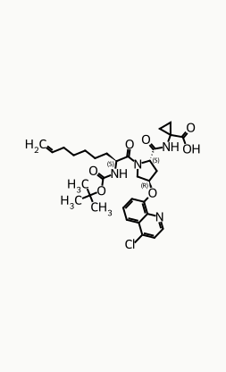 C=CCCCCC[C@H](NC(=O)OC(C)(C)C)C(=O)N1C[C@H](Oc2cccc3c(Cl)ccnc23)C[C@H]1C(=O)NC1(C(=O)O)CC1